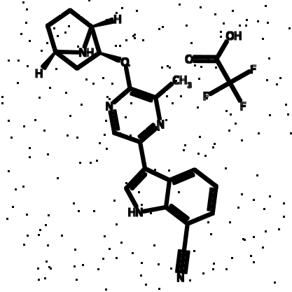 Cc1nc(-c2c[nH]c3c(C#N)cccc23)cnc1O[C@H]1C[C@@H]2CC[C@H]1N2.O=C(O)C(F)(F)F